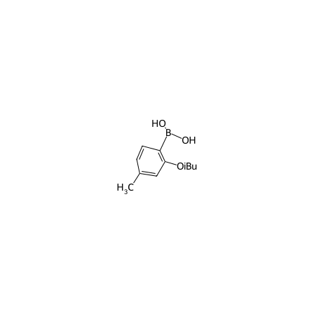 Cc1ccc(B(O)O)c(OCC(C)C)c1